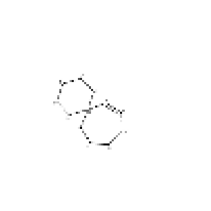 C1=CC2(CCCC1)CCCCC2